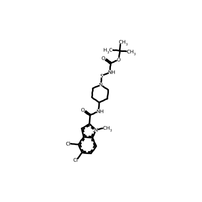 Cn1c(C(=O)NC2CCN(SNC(=O)OC(C)(C)C)CC2)cc2c(Cl)c(Cl)ccc21